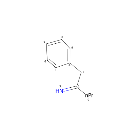 CCCC(=N)Cc1[c]cccc1